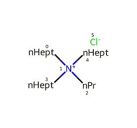 CCCCCCC[N+](CCC)(CCCCCCC)CCCCCCC.[Cl-]